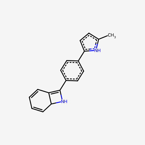 Cc1ccc(-c2ccc(C3=C4C=CC=CC4N3)cc2)[nH]1